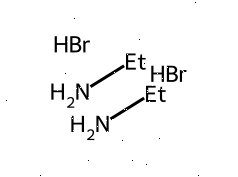 Br.Br.CCN.CCN